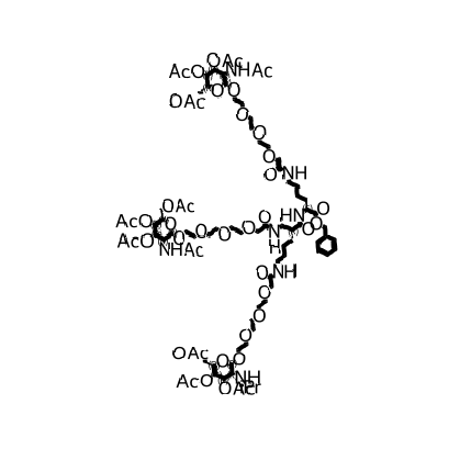 CC(=O)N[C@H]1[C@H](OCCOCCOCCOCC(=O)NCCCC[C@H](NC(=O)[C@H](CCCCNC(=O)COCCOCCOCCO[C@@H]2O[C@H](COC(C)=O)[C@H](OC(C)=O)[C@H](OC(C)=O)[C@H]2NC(C)C)CNC(=O)COCCOCCOCCO[C@@H]2O[C@H](COC(C)=O)[C@H](OC(C)=O)[C@H](OC(C)=O)[C@H]2NC(C)=O)C(=O)OCc2ccccc2)O[C@H](COC(C)=O)[C@H](OC(C)=O)[C@@H]1OC(C)=O